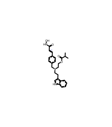 CC(C)C(=O)OCCN(CCc1c[nH]c2ccccc12)Cc1ccc(/C=C/C(=O)NO)cc1